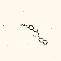 CN(Cc1cccc(OBO)c1)CC(O)c1ccc2ccccc2c1